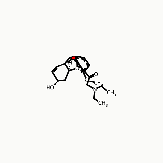 CCN(CC)CC(=O)N1CC[C@@]23C=C[C@H](O)C[C@@H]2Oc2c(OC)ccc(c23)C1